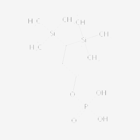 C[Si](C)(C)C(CCOP(=O)(O)O)[Si](C)(C)C